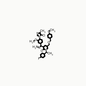 COc1ccc(COCc2cc(C(=NN)c3ccc(-n4cnc(C)c4Cl)c(OC)c3)c(=O)n([C@@H](C)c3ccc(F)cc3)c2)cc1